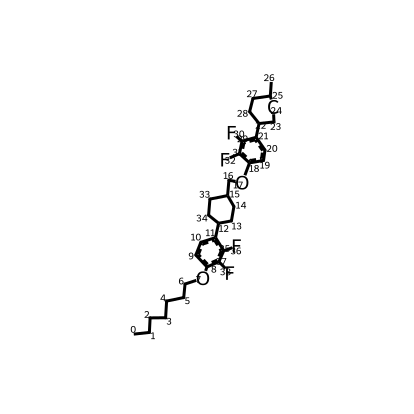 CCCCCCCOc1ccc(C2CCC(COc3ccc(C4CCC(C)CC4)c(F)c3F)CC2)c(F)c1F